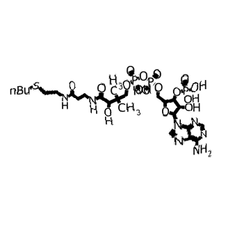 CCCCSCCNC(=O)CCNC(=O)C(O)C(C)(C)COP(=O)(O)OP(=O)(O)OCC1OC(n2cnc3c(N)ncnc32)C(O)C1OP(=O)(O)O